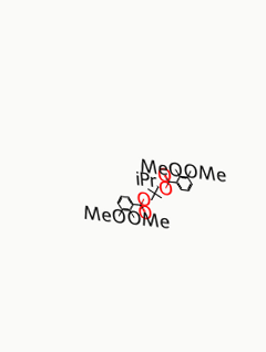 COc1cccc(C(=O)OCC(C)(C)C(OC(=O)c2cccc(OC)c2OC)C(C)C)c1OC